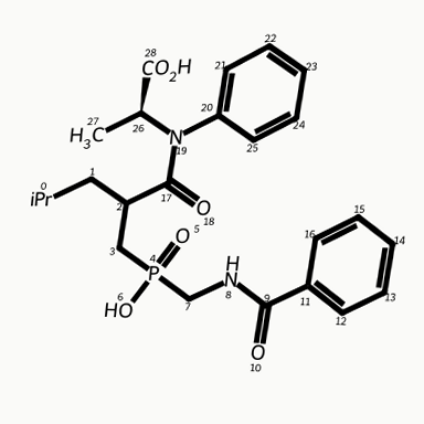 CC(C)CC(CP(=O)(O)CNC(=O)c1ccccc1)C(=O)N(c1ccccc1)[C@@H](C)C(=O)O